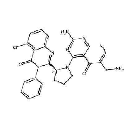 C/C=C(/CN)C(=O)c1cnc(N)nc1N1CCC[C@H]1c1nc2cccc(Cl)c2c(=O)n1-c1ccccc1